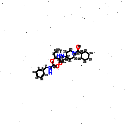 CC(C)CC(OC(=O)NCc1ccccc1)C(=O)NC1(C#N)CCN(C(=O)C2CCCCC2)CC1